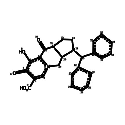 O=C(O)c1cn2c(c(O)c1=O)C(=O)N1CCN(C(c3ccccc3)c3ccccc3)C1C2